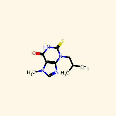 CC(C)Cn1c(=S)[nH]c(=O)c2c1ncn2C